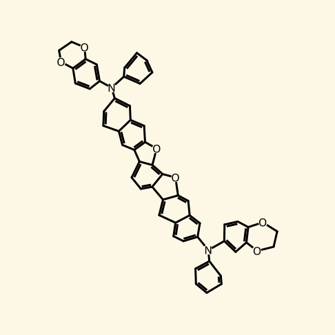 c1ccc(N(c2ccc3c(c2)OCCO3)c2ccc3cc4c(cc3c2)oc2c4ccc3c4cc5ccc(N(c6ccccc6)c6ccc7c(c6)OCCO7)cc5cc4oc32)cc1